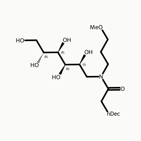 CCCCCCCCCCCC(=O)N(CCCOC)C[C@H](O)[C@@H](O)[C@H](O)[C@H](O)CO